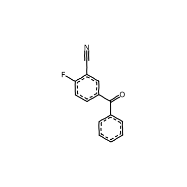 N#Cc1cc(C(=O)c2ccccc2)ccc1F